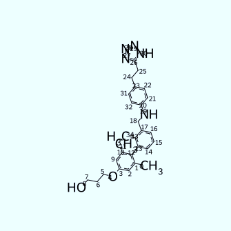 Cc1cc(OCCCO)cc(C)c1-c1cccc(CNc2ccc(CCc3nnn[nH]3)cc2)c1C